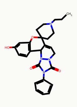 CCCN1CCC2(CC1)Oc1cc(O)ccc1C1C2=CCn2c(=O)n(-c3ccccc3)c(=O)n21